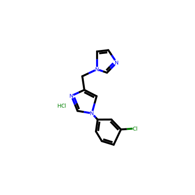 Cl.Clc1cccc(-n2cnc(Cn3ccnc3)c2)c1